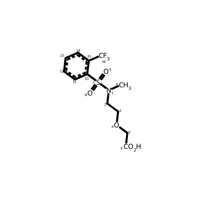 CN(CCOCC(=O)O)S(=O)(=O)c1ccccc1C(F)(F)F